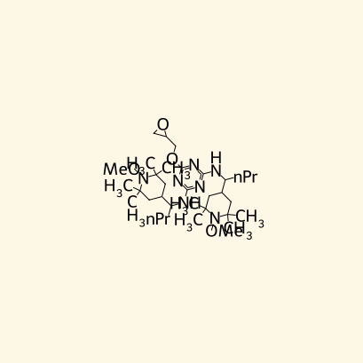 CCCC(Nc1nc(NC(CCC)C2CC(C)(C)N(OC)C(C)(C)C2)nc(OCC2CO2)n1)C1CC(C)(C)N(OC)C(C)(C)C1